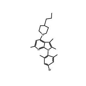 CCCC1CCN(c2cc(C)nc3c2c(C)c(C)n3-c2c(C)cc(Br)cc2C)CC1